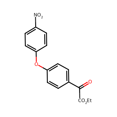 CCOC(=O)C(=O)c1ccc(Oc2ccc([N+](=O)[O-])cc2)cc1